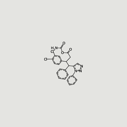 NC(=O)OC(=O)CC(c1ccc(Cl)c(Cl)c1)C(c1ccccc1)c1cnnn1-c1ccccc1